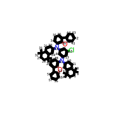 CC1(C)CCC(C)(C)c2cc(N(c3cc(Cl)cc(N(c4ccc5c(c4)C(C)(C)CCC5(C)C)c4cccc5c4oc4ccccc45)c3)c3cccc4c3oc3ccccc34)ccc21